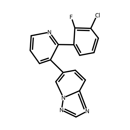 Fc1c(Cl)cccc1-c1ncccc1-c1ccc2ncnn2c1